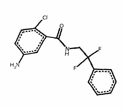 Nc1ccc(Cl)c(C(=O)NCC(F)(F)c2ccccc2)c1